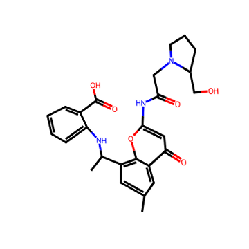 Cc1cc(C(C)Nc2ccccc2C(=O)O)c2oc(NC(=O)CN3CCCC3CO)cc(=O)c2c1